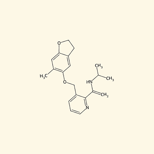 C=C(NC(C)C)c1ncccc1COc1cc2c(cc1C)OCC2